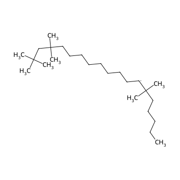 CCCCCC(C)(C)[CH]CCCCCCCCC(C)(C)CC(C)(C)C